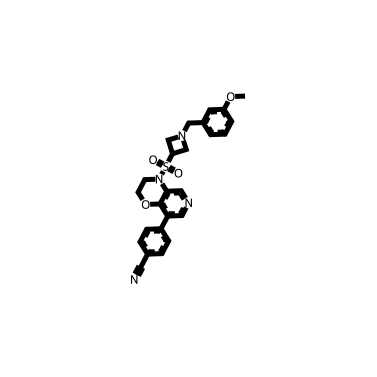 COc1cccc(CN2CC(S(=O)(=O)N3CCOc4c(-c5ccc(C#N)cc5)cncc43)C2)c1